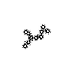 c1ccc(-n2c3ccccc3c3ccc(-c4cccc5c4oc4cc(-c6nc(-c7ccc8ccccc8c7)nc(-c7ccc8c(c7)oc7ccccc78)n6)ccc45)cc32)cc1